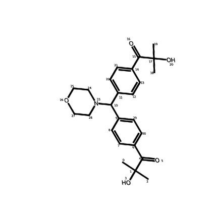 CC(C)(O)C(=O)c1ccc(C(c2ccc(C(=O)C(C)(C)O)cc2)N2CCOCC2)cc1